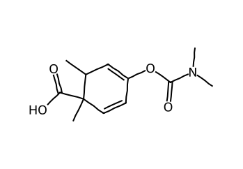 CC1C=C(OC(=O)N(C)C)C=CC1(C)C(=O)O